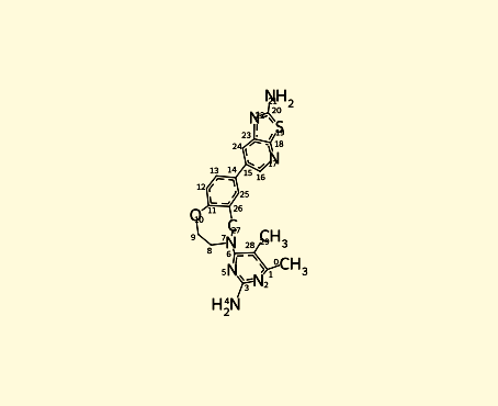 Cc1nc(N)nc(N2CCOc3ccc(-c4cnc5sc(N)nc5c4)cc3C2)c1C